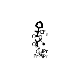 C#C[C@@H](OC(=O)[C@](C)(c1ccccc1)C(F)(F)F)C1(C)O[C@H]1CO[Si](C(C)C)(C(C)C)C(C)C